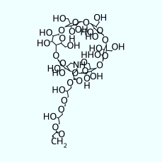 C=CC(=O)OCC(O)COCOCC(O)COC(=O)CCNCC1OC2OC3C(CO)OC(OC4C(CO)OC(OC5C(CO)OC(OC6C(CO)OC(OC7C(CO)OC(OC1C(O)C2O)C(O)C7O)C(O)C6O)C(O)C5O)C(O)C4O)C(O)C3O